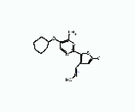 Cc1nc(-c2sc(Cl)cc2/C=N/O)ncc1OC1CCCCC1